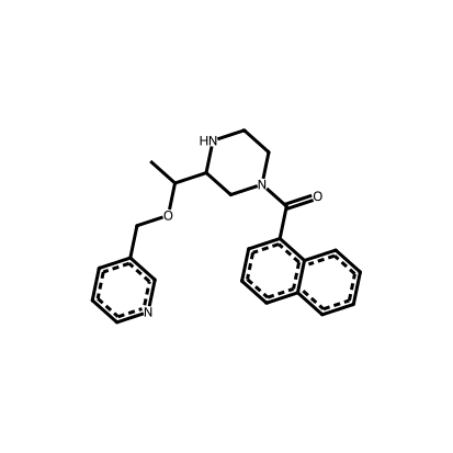 CC(OCc1cccnc1)C1CN(C(=O)c2cccc3ccccc23)CCN1